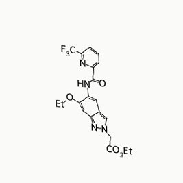 CCOC(=O)Cn1cc2cc(NC(=O)c3cccc(C(F)(F)F)n3)c(OCC)cc2n1